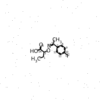 CCC(O/N=C(/C)c1ccc(F)cc1)C(=O)O